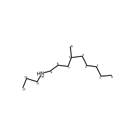 CCCCCC(C)CCCNCCC